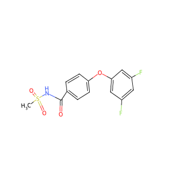 CS(=O)(=O)NC(=O)c1ccc(Oc2cc(F)cc(F)c2)cc1